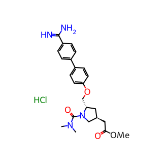 COC(=O)C[C@@H]1C[C@@H](COc2ccc(-c3ccc(C(=N)N)cc3)cc2)N(C(=O)N(C)C)C1.Cl